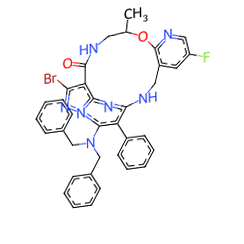 CC1CNC(=O)c2c(Br)nn3c(N(Cc4ccccc4)Cc4ccccc4)c(-c4ccccc4)c(nc23)NCc2cc(F)cnc2O1